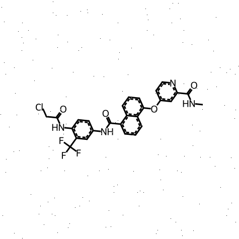 CNC(=O)c1cc(Oc2cccc3c(C(=O)Nc4ccc(NC(=O)CCl)c(C(F)(F)F)c4)cccc23)ccn1